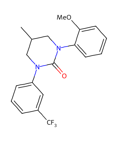 COc1ccccc1N1CC(C)CN(c2cccc(C(F)(F)F)c2)C1=O